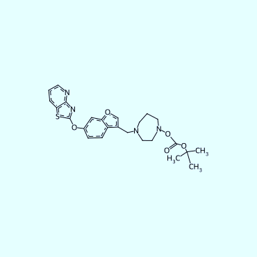 CC(C)(C)OC(=O)ON1CCCN(Cc2coc3cc(Oc4nc5ncccc5s4)ccc23)CC1